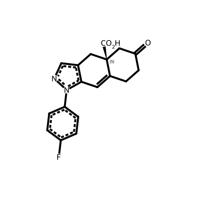 O=C1CCC2=Cc3c(cnn3-c3ccc(F)cc3)C[C@]2(C(=O)O)C1